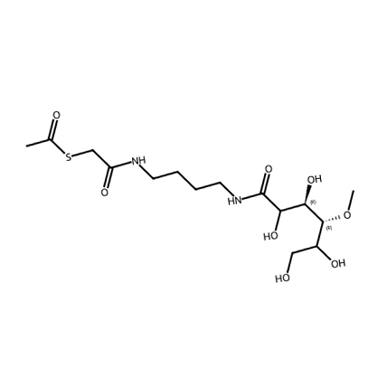 CO[C@H](C(O)CO)[C@H](O)C(O)C(=O)NCCCCNC(=O)CSC(C)=O